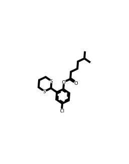 CC(C)CCCC(=O)Oc1ccc(Cl)cc1C1SCCCS1